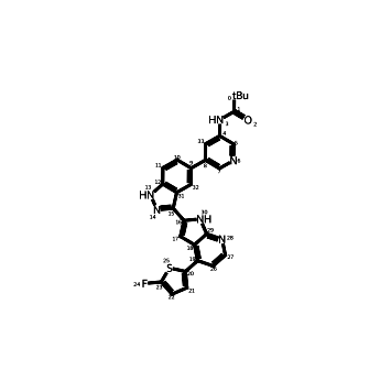 CC(C)(C)C(=O)Nc1cncc(-c2ccc3[nH]nc(-c4cc5c(-c6ccc(F)s6)ccnc5[nH]4)c3c2)c1